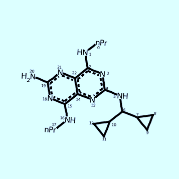 CCCNc1nc(NC(C2CC2)C2CC2)nc2c(NCCC)nc(N)nc12